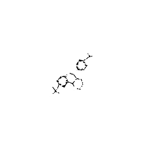 O=C(O)c1ccc([C@H]2Nc3ccc(C(F)(F)F)cc3[C@@H]3OCCC[C@H]23)cc1